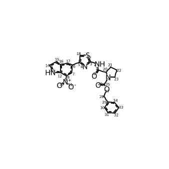 O=C(Nc1nc(-c2cc([N+](=O)[O-])c3[nH]ccc3c2)cs1)C1CCCN1C(=O)OCc1ccccc1